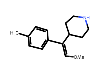 COC=C(c1ccc(C)cc1)C1CCNCC1